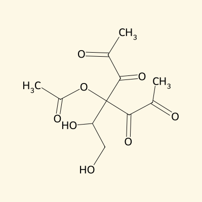 CC(=O)OC(C(=O)C(C)=O)(C(=O)C(C)=O)C(O)CO